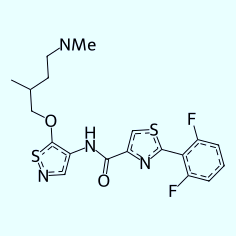 CNCCC(C)COc1sncc1NC(=O)c1csc(-c2c(F)cccc2F)n1